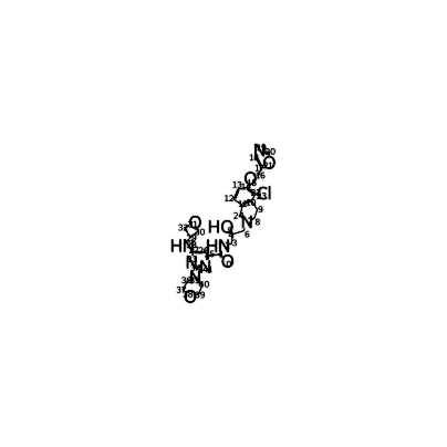 O=C(NC[C@H](O)CN1CCc2c(ccc(OCc3cnco3)c2Cl)C1)c1cc(NC2COC2)nc(N2CCOCC2)n1